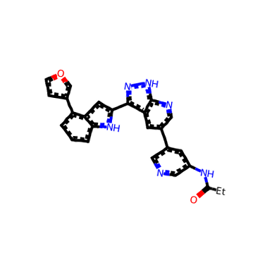 CCC(=O)Nc1cncc(-c2cnc3[nH]nc(-c4cc5c(-c6ccoc6)cccc5[nH]4)c3c2)c1